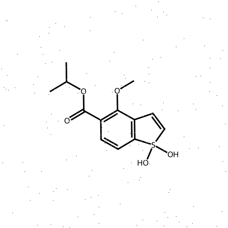 COc1c(C(=O)OC(C)C)ccc2c1C=CS2(O)O